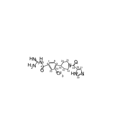 N=C(N)NC(=O)c1ccc(C2CCN(C(=O)c3cnc[nH]3)CC2)c(C(F)(F)F)c1